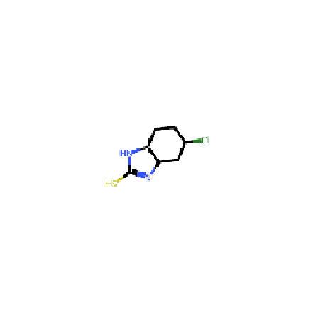 SC1=NC2CC(Cl)CCC2N1